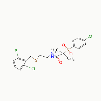 CC(C)(C(=O)NCCSCc1c(F)cccc1Cl)S(=O)(=O)c1ccc(Cl)cc1